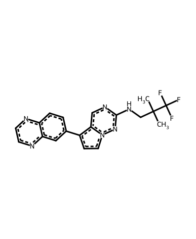 CC(C)(CNc1ncc2c(-c3ccc4nccnc4c3)ccn2n1)C(F)(F)F